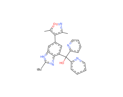 Cc1noc(C)c1-c1cc(C(O)(c2ccccn2)c2ccccn2)c2nc(C(C)(C)C)[nH]c2c1